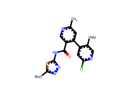 COc1cnc(Cl)cc1-c1cc(C)ncc1C(=O)Nc1nnc(OCC(C)C)s1